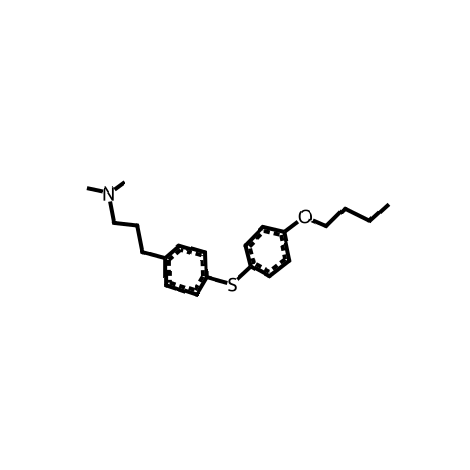 CCCCOc1ccc(Sc2ccc(CCCN(C)C)cc2)cc1